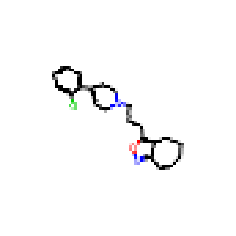 Clc1ccccc1C1=CCN(CCCc2onc3c2CCCCC3)CC1